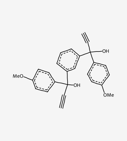 C#CC(O)(c1ccc(OC)cc1)c1cccc(C(O)(C#C)c2ccc(OC)cc2)c1